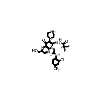 CCc1c(N2CCNCC2)c(=O)c2nc(CO)cnc2n1CC(=O)Nc1ccc(C(F)(F)F)cc1Cl.O=C(O)C(F)(F)F